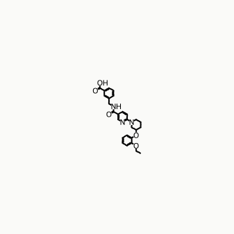 CCOc1ccccc1OC1CCCN(c2ccc(C(=O)NCc3cccc(C(=O)O)c3)cn2)C1